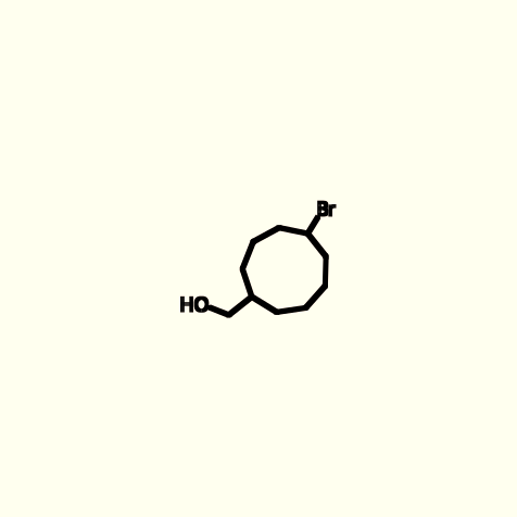 OCC1CCCCC(Br)CCC1